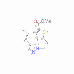 C/C=C/c1cnn(C)c1-c1cc(C(=O)OC)sc1C